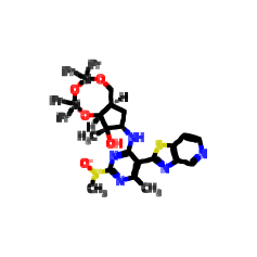 Cc1nc([S+](C)[O-])nc(N[C@@H]2C[C@@H]3CO[Si](C(C)C)(C(C)C)O[Si](C(C)C)(C(C)C)O[C@H]3[C@@]2(C)O)c1-c1nc2cnccc2s1